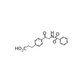 O=C(O)CCc1ccc(C(=O)CNS(=O)(=O)c2ccccc2)cc1